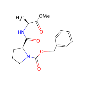 COC(=O)[C@H](C)NC(=O)[C@@H]1CCCN1C(=O)OCc1ccccc1